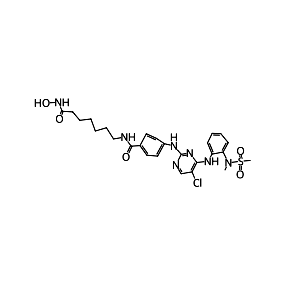 CN(c1ccccc1Nc1nc(Nc2ccc(C(=O)NCCCCCCC(=O)NO)cc2)ncc1Cl)S(C)(=O)=O